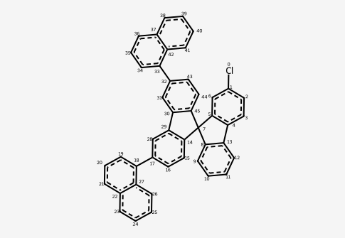 Clc1ccc2c(c1)C1(c3ccccc3-2)c2ccc(-c3cccc4ccccc34)cc2-c2cc(-c3cccc4ccccc34)ccc21